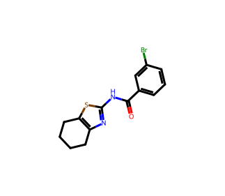 O=C(Nc1nc2c(s1)CCCC2)c1cccc(Br)c1